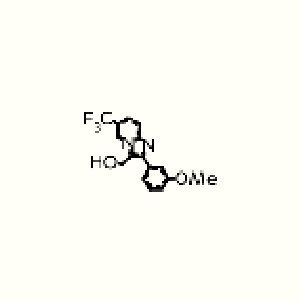 COc1cccc(-c2nc3ccc(C(F)(F)F)cn3c2CO)c1